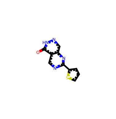 O=c1[nH]ncc2nc(-c3cccs3)ncc12